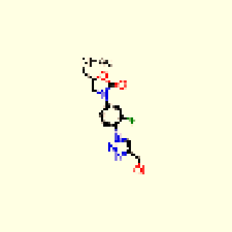 CC(=O)NCC1CN(c2ccc(-n3cc(CO)nn3)c(F)c2)C(=O)O1